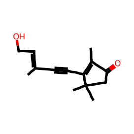 CC1=C(C#C/C(C)=C/CO)C(C)(C)CC1=O